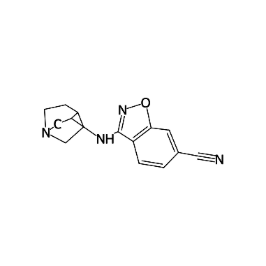 N#Cc1ccc2c(NC3CN4CCC3CC4)noc2c1